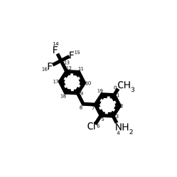 Cc1cc(N)c(Cl)c(Cc2ccc(C(F)(F)F)cc2)c1